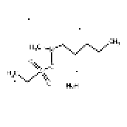 CCCCCN(C)OS(=O)(=O)CC.[NaH]